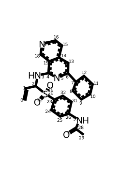 C=CC(Nc1nc(-c2ccccc2)cc2ccncc12)S(=O)(=O)c1ccc(NC(C)=O)cc1